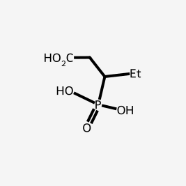 CCC(CC(=O)O)P(=O)(O)O